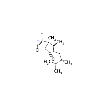 C#CCC(C)(C(=C)CCC(=C)C(C)C)/C(F)=C\C